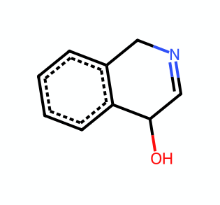 OC1C=NCc2ccccc21